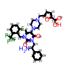 Cc1c(N2CCN(Cc3ccc(C(=O)O)o3)CC2)c(=O)n(C[C@H](N)c2ccccc2)c(=O)n1Cc1c(F)cccc1C(F)(F)F